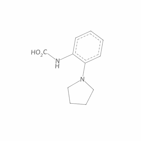 O=C(O)Nc1ccccc1N1CCCC1